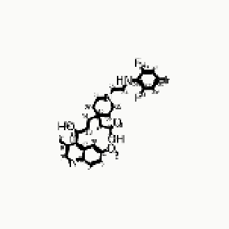 COc1ccc2ncc(C)c(C(O)CCC3(CC(=O)O)CCN(CCNc4c(F)cc(F)cc4F)CC3)c2c1